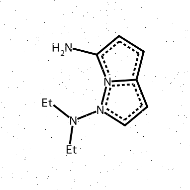 CCN(CC)n1ccc2ccc(N)n21